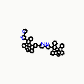 c1ccc(-c2cncc(-c3cc4c(c5ccccc35)-c3c(c5ccccc5c5cc(-c6ccc(-c7ccc(-c8cc9c(c%10ccccc8%10)-c8c(c%10ccccc%10c%10ccccc8%10)C98c9ccccc9-c9ccccc98)cn7)nc6)ccc35)C43c4ccccc4-c4ccccc43)c2)nc1